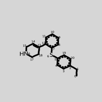 CCc1ccc(Sc2ccccc2C2=CCNCC2)cc1